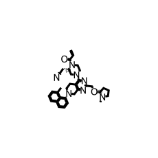 C=CC(=O)N1CCN(c2nc(CO[C@H]3CCCN3C)nc3c2CCN(c2cccc4cccc(C)c24)C3)C[C@@H]1CC#N